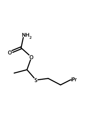 CC(C)CCSC(C)OC(N)=O